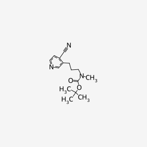 CN(CCCc1cnccc1C#N)C(=O)OC(C)(C)C